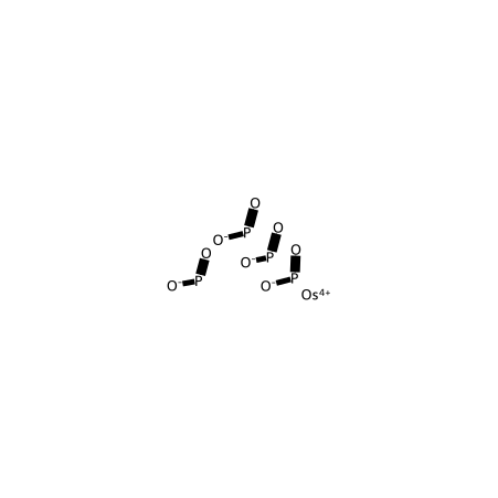 O=P[O-].O=P[O-].O=P[O-].O=P[O-].[Os+4]